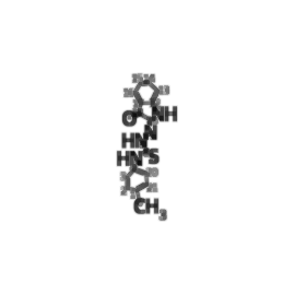 Cc1ccc(NC(=S)NN=C2Nc3ccccc3C2=O)cc1